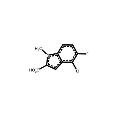 Cn1c(C(=O)O)cc2c(Cl)c(F)ccc21